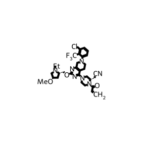 C=CC(=O)N1CCN(c2nc(OC[C@@H]3C[C@@H](OC)CN3CC)nc3c2CCN(c2cccc(Cl)c2C(F)(F)F)C3)C[C@@H]1CC#N